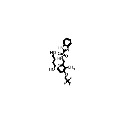 Cc1c(OCC(F)(F)F)ccnc1CNS(=O)(=O)c1nc2ccccc2[nH]1.OCCCCO